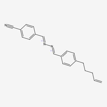 C=CCCCc1ccc(/C=N/N=C/c2ccc(C#N)cc2)cc1